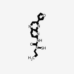 C=CCN(S)C(=O)Nc1ccc2ncc(-c3ccoc3)nc2n1